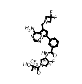 C[C@@](O)(C(=O)N1C[C@H](F)[C@H](NC(=O)c2cccc(-c3cc(CN4CC(F)(F)C4)c4c(N)ncnn34)c2)C1)C(F)(F)F